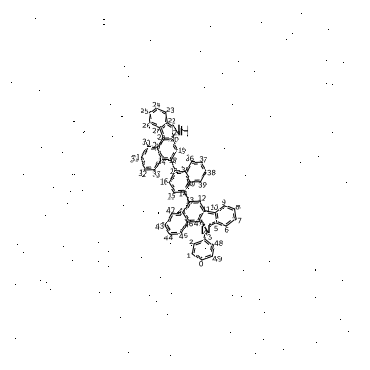 c1ccc(-n2c3ccccc3c3cc(-c4ccc(-c5cc6[nH]c7ccccc7c6c6ccccc56)c5ccccc45)c4ccccc4c32)cc1